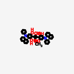 COOC1C(c2c(O)cc(N(c3ccccc3)c3cccc4ccccc34)cc2O)=C(O)C1c1c(O)cc(N(c2ccccc2)c2cccc3ccccc23)cc1O